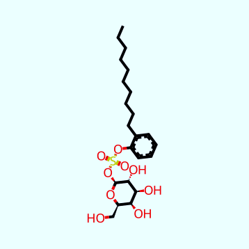 CCCCCCCCCCc1ccccc1OS(=O)(=O)O[C@@H]1O[C@H](CO)[C@H](O)[C@H](O)[C@H]1O